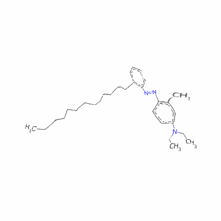 CCCCCCCCCCCCc1ccccc1/N=N/c1ccc(N(CC)CC)cc1C